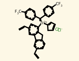 C=Cc1ccc2c(c1)-c1cc(C=C)c[c]([Zr+2]([C]3=CC=CC3)=[C](c3ccc(C(F)(F)F)cc3)c3ccc(C(F)(F)F)cc3)c1C2.[Cl-].[Cl-]